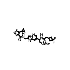 COCC(NC(=O)CC1CC(F)(F)C1)c1cnn2cc(CNC(=O)c3nonc3C3CC3)nc2c1